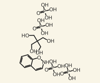 C1=Cc2ccccc2ON1.O=P(O)(O)O.O=P(O)(O)O.O=P(O)(O)O.O=P(O)(O)O.OCC(CO)(CO)CO